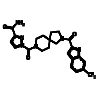 NC(=O)c1ccn(C(=O)N2CCC3(CCN(C(=O)c4cc5ccc(C(F)(F)F)cc5s4)C3)CC2)n1